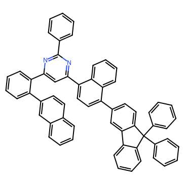 c1ccc(-c2nc(-c3ccccc3-c3ccc4ccccc4c3)cc(-c3ccc(-c4ccc5c(c4)-c4ccccc4C5(c4ccccc4)c4ccccc4)c4ccccc34)n2)cc1